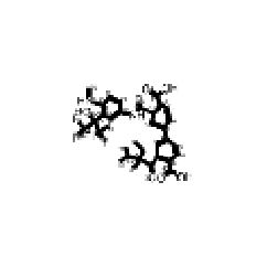 CCC(C)(C(=O)c1cc(-c2ccc(C(=O)O)c(C(=O)Nc3ccc(NC)c(C(O)(C(F)(F)F)C(F)(F)F)c3)c2)ccc1C(=O)O)C(C)C